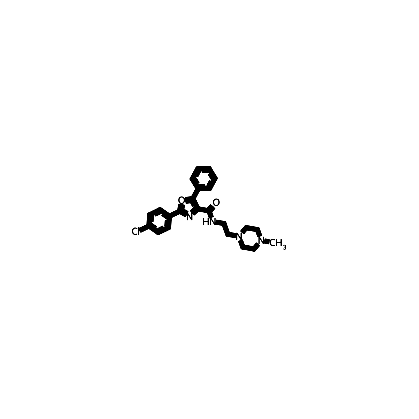 CN1CCN(CCNC(=O)c2nc(-c3ccc(Cl)cc3)oc2-c2ccccc2)CC1